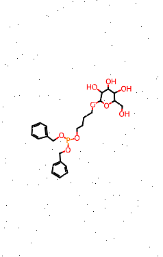 OCC1OC(OCCCCOP(OCc2ccccc2)OCc2ccccc2)C(O)C(O)C1O